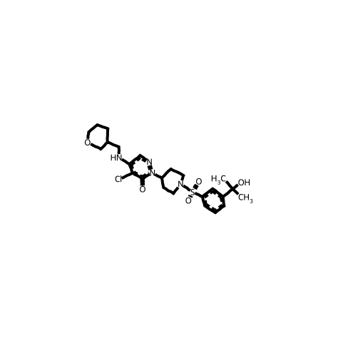 CC(C)(O)c1cccc(S(=O)(=O)N2CCC(n3ncc(NCC4CCCOC4)c(Cl)c3=O)CC2)c1